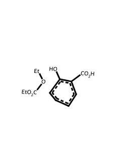 CCOC(=O)OCC.O=C(O)c1ccccc1O